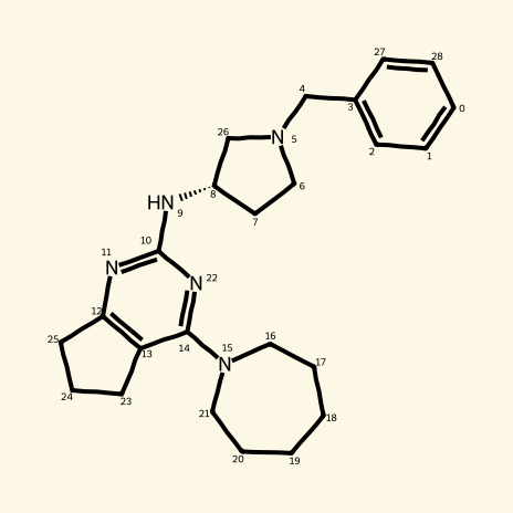 c1ccc(CN2CC[C@H](Nc3nc4c(c(N5CCCCCC5)n3)CCC4)C2)cc1